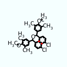 COc1c(C)cc(C(OC(c2ccc(Cl)cc2)c2cc(C)c(OC)c(C)c2)c2ccc(Cl)cc2)cc1C